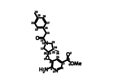 COC(=O)c1cnc(N)c(O[C@H]2CN(C(=O)Cc3ccc(C)cc3)C[C@@H]2C)c1